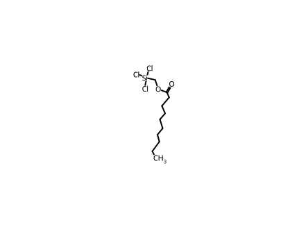 CCCCCCCCCC(=O)OC[Si](Cl)(Cl)Cl